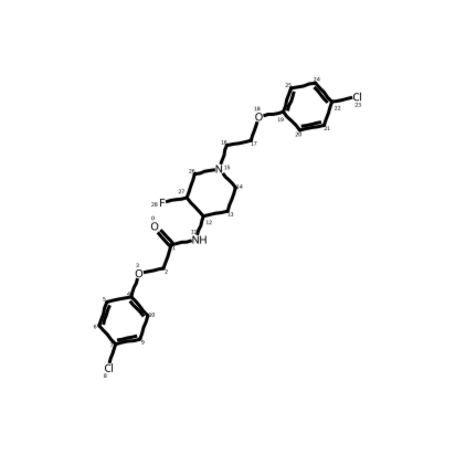 O=C(COc1ccc(Cl)cc1)NC1CCN(CCOc2ccc(Cl)cc2)CC1F